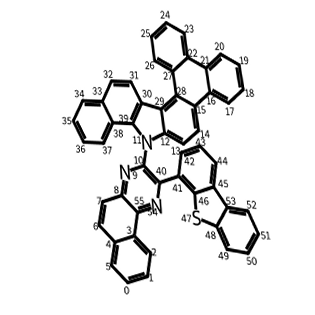 c1ccc2c(c1)ccc1nc(-n3c4ccc5c6ccccc6c6ccccc6c5c4c4ccc5ccccc5c43)c(-c3cccc4c3sc3ccccc34)nc12